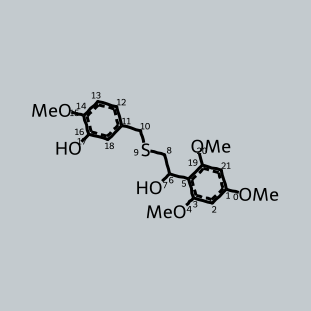 COc1cc(OC)c(C(O)CSCc2ccc(OC)c(O)c2)c(OC)c1